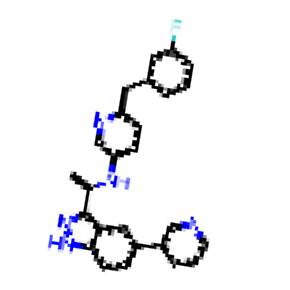 C=C(Nc1ccc(Cc2cccc(F)c2)nc1)c1n[nH]c2ccc(-c3cccnc3)cc12